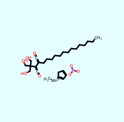 CCCCCCCCCCCCCCC(=C=O)C(=C=O)C(CO)(CO)CO.[CH3][Mn+3][C]1=CC=CC1.[O-]P([O-])[O-]